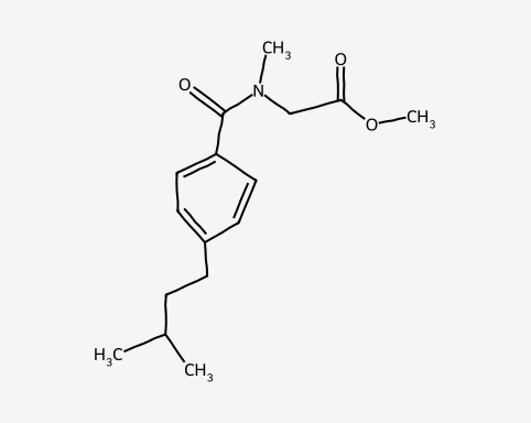 COC(=O)CN(C)C(=O)c1ccc(CCC(C)C)cc1